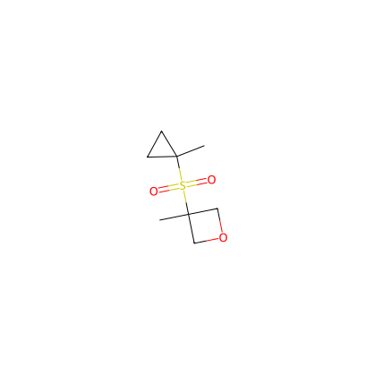 CC1(S(=O)(=O)C2(C)COC2)CC1